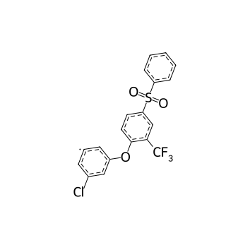 O=S(=O)(c1ccccc1)c1ccc(Oc2c[c]cc(Cl)c2)c(C(F)(F)F)c1